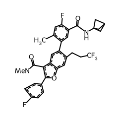 CNC(=O)c1c(-c2ccc(F)cc2)oc2cc(CCC(F)(F)F)c(-c3cc(C(=O)NC45CC(C4)C5)c(F)cc3C)cc12